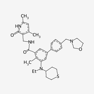 CCN(c1cc(-c2ccc(CN3CCOC3)cc2)cc(C(=O)NCc2c(C)cc(C)[nH]c2=O)c1C)C1CCSCC1